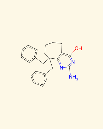 Nc1nc(O)c2c(n1)C(Cc1ccccc1)(Cc1ccccc1)CCCC2